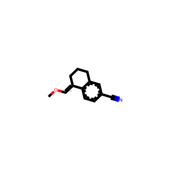 CO/C=C1\CCCc2cc(C#N)ccc21